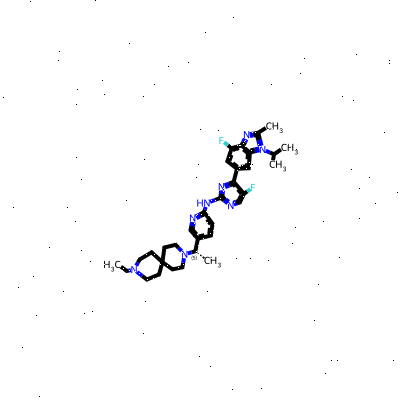 CCN1CCC2(CC1)CCN([C@@H](C)c1ccc(Nc3ncc(F)c(-c4cc(F)c5nc(C)n(C(C)C)c5c4)n3)nc1)CC2